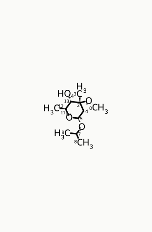 CO[C@]1(C)C[C@H](OC(C)C)O[C@@H](C)[C@@H]1O